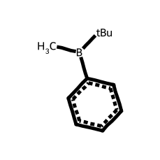 CB(c1ccccc1)C(C)(C)C